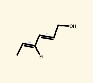 C/C=C(/C=C/CO)CC